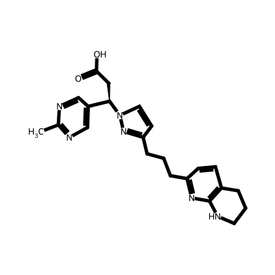 Cc1ncc([C@@H](CC(=O)O)n2ccc(CCCc3ccc4c(n3)NCCC4)n2)cn1